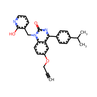 C#CCOc1ccc2c(c1)c(-c1ccc(C(C)C)cc1)nc(=O)n2Cc1cccnc1O